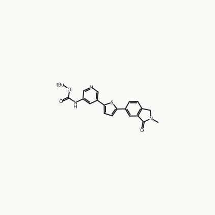 CN1Cc2ccc(-c3ccc(-c4cncc(NC(=O)OC(C)(C)C)c4)s3)cc2C1=O